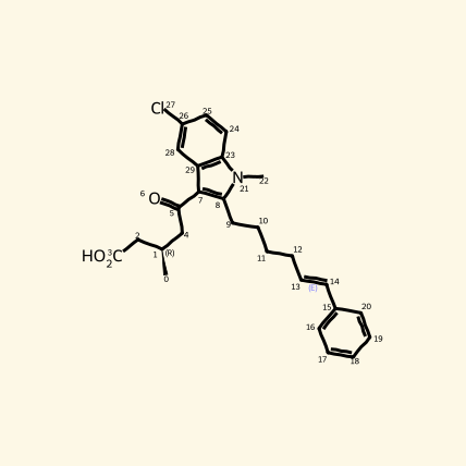 C[C@@H](CC(=O)O)CC(=O)c1c(CCCC/C=C/c2ccccc2)n(C)c2ccc(Cl)cc12